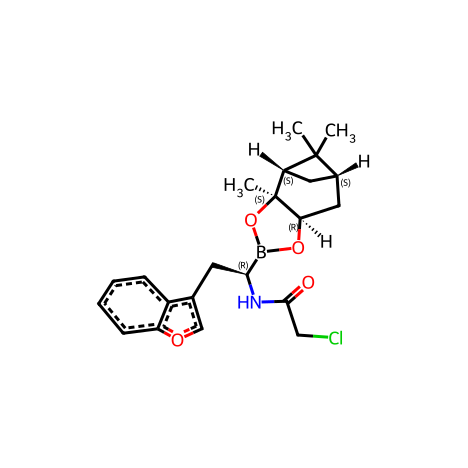 CC1(C)[C@@H]2C[C@H]3OB([C@H](Cc4coc5ccccc45)NC(=O)CCl)O[C@@]3(C)[C@H]1C2